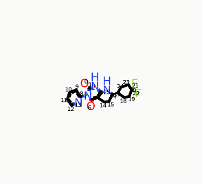 O=c1[nH]c2c(c(=O)n1-c1ccccn1)CC[C@H](C1CCC(F)(F)CC1)N2